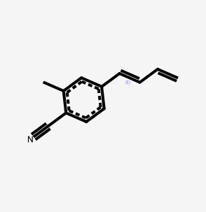 C=C/C=C/c1ccc(C#N)c(C)c1